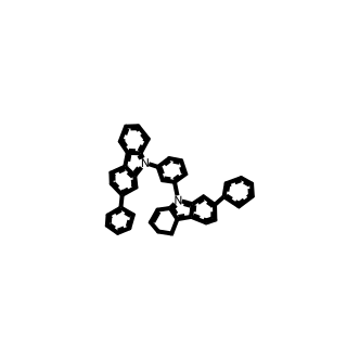 C1=Cc2c(c3ccc(-c4ccccc4)cc3n2-c2cccc(-n3c4ccccc4c4ccc(-c5ccccc5)cc43)c2)CC1